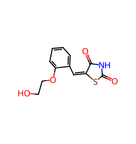 O=C1NC(=O)/C(=C\c2ccccc2OCCO)S1